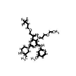 CCOCCn1nc(COCCC(F)(F)F)c2nc(N3CCN[C@H](C)C3)nc(Nc3cc(C)ccn3)c21